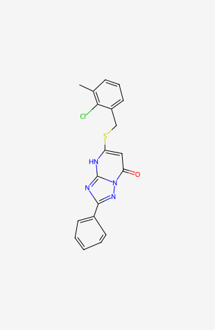 Cc1cccc(CSc2cc(=O)n3nc(-c4ccccc4)nc3[nH]2)c1Cl